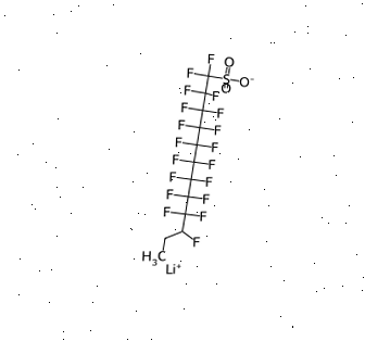 CCC(F)C(F)(F)C(F)(F)C(F)(F)C(F)(F)C(F)(F)C(F)(F)C(F)(F)C(F)(F)C(F)(F)S(=O)(=O)[O-].[Li+]